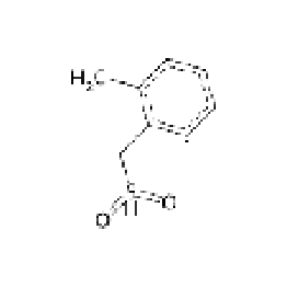 Cc1ccc[c]c1C[SH](=O)=O